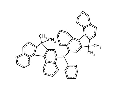 CC1(C)c2ccc3ccccc3c2-c2c1cc(N(c1ccccc1)c1cc3c(c4ccccc14)-c1c(ccc4ccccc14)C3(C)C)c1ccccc21